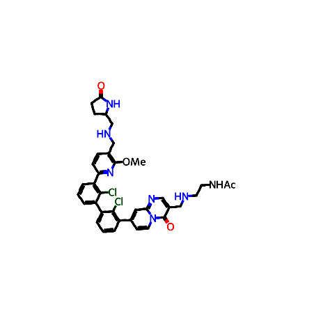 COc1nc(-c2cccc(-c3cccc(-c4ccn5c(=O)c(CNCCNC(C)=O)cnc5c4)c3Cl)c2Cl)ccc1CNCC1CCC(=O)N1